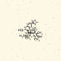 Cc1cc(NC(=O)C2c3cc(N4CCCC4)ccc3CCN2C(=O)CC(C)(C)C)c(C)c(C)c1O.Cl